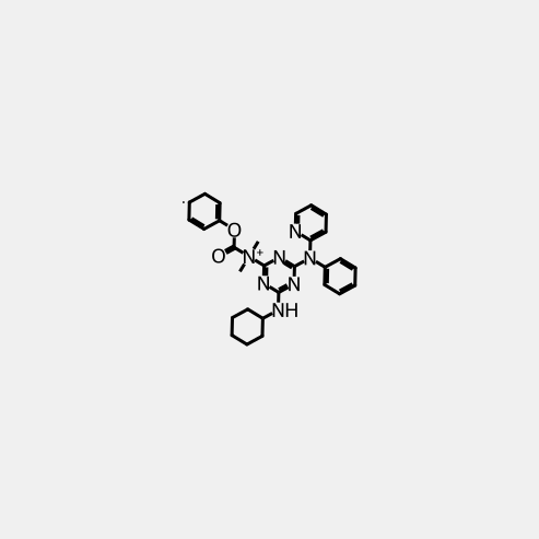 C[N+](C)(C(=O)OC1=CC[CH]C=C1)c1nc(NC2CCCCC2)nc(N(c2ccccc2)c2ccccn2)n1